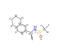 C[C@H](N[S+]([O-])C(C)(C)C)c1ccc2c(c1)CCCC2